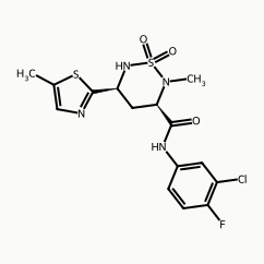 Cc1cnc([C@@H]2C[C@H](C(=O)Nc3ccc(F)c(Cl)c3)N(C)S(=O)(=O)N2)s1